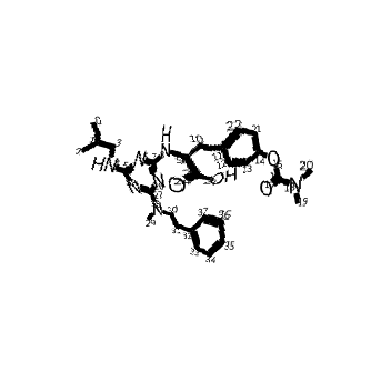 CC(C)CNc1nc(N[C@@H](Cc2ccc(OC(=O)N(C)C)cc2)C(=O)O)nc(N(C)CCc2ccccc2)n1